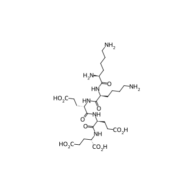 NCCCC[C@H](NC(=O)[C@@H](N)CCCCN)C(=O)N[C@@H](CCC(=O)O)C(=O)N[C@@H](CCC(=O)O)C(=O)N[C@@H](CCC(=O)O)C(=O)O